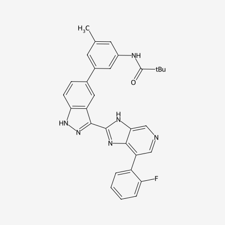 Cc1cc(NC(=O)C(C)(C)C)cc(-c2ccc3[nH]nc(-c4nc5c(-c6ccccc6F)cncc5[nH]4)c3c2)c1